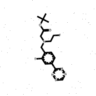 CC(C)(C)OC(=O)CN(CCF)Cc1ccc(-c2nncnn2)cc1F